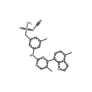 CS(=O)(Cc1cc(F)cc(Nc2ncc(F)c(-c3ccc(F)c4ccoc34)n2)c1)=NC#N